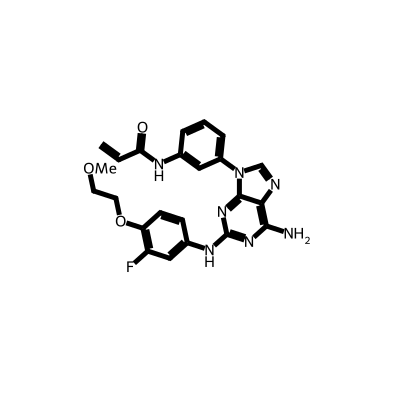 C=CC(=O)Nc1cccc(-n2cnc3c(N)nc(Nc4ccc(OCCOC)c(F)c4)nc32)c1